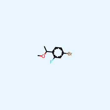 COC(C)c1ccc(Br)cc1F